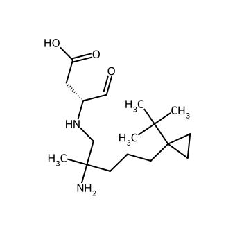 CC(N)(CCCC1(C(C)(C)C)CC1)CN[C@@H](C=O)CC(=O)O